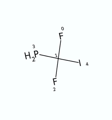 FC(F)(P)I